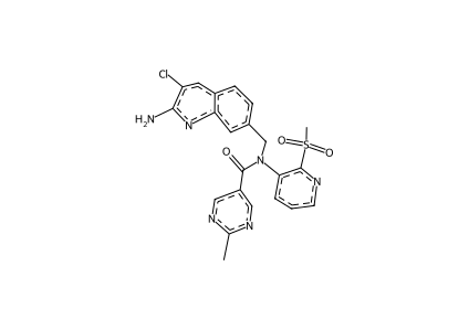 Cc1ncc(C(=O)N(Cc2ccc3cc(Cl)c(N)nc3c2)c2cccnc2S(C)(=O)=O)cn1